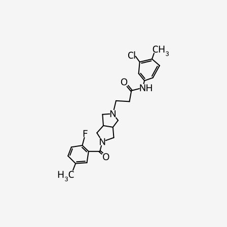 Cc1ccc(F)c(C(=O)N2CC3CN(CCC(=O)Nc4ccc(C)c(Cl)c4)CC3C2)c1